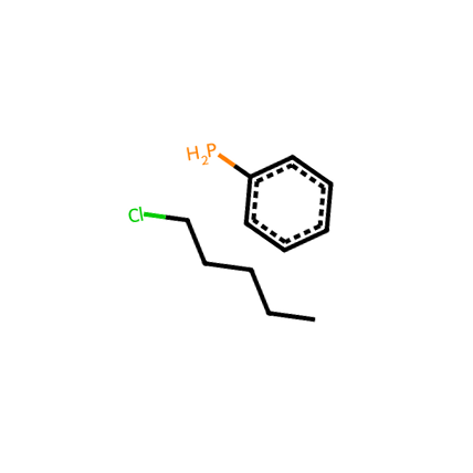 CCCCCCl.Pc1ccccc1